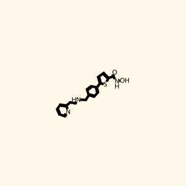 O=C(NO)c1ccc(-c2ccc(CNCCc3ccccn3)cc2)s1